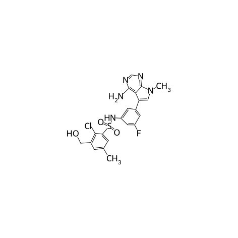 Cc1cc(CO)c(Cl)c(S(=O)(=O)Nc2cc(F)cc(-c3cn(C)c4ncnc(N)c34)c2)c1